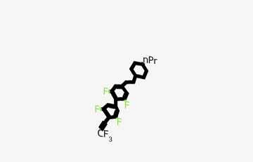 CCCC1CCC(CCc2cc(F)c(-c3cc(F)c(C#CC(F)(F)F)c(F)c3)c(F)c2)CC1